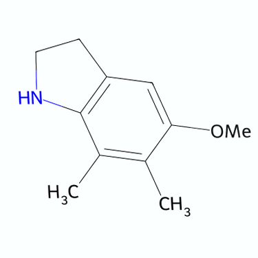 COc1cc2c(c(C)c1C)NCC2